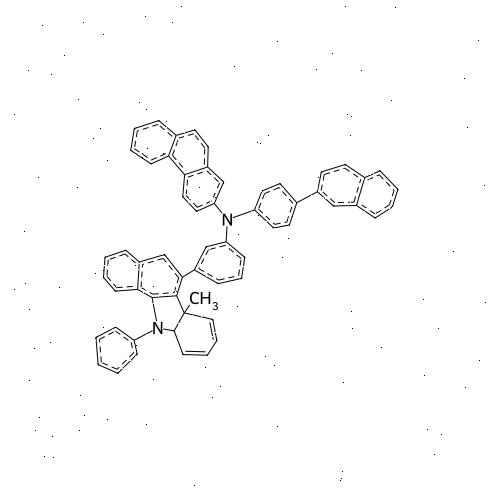 CC12C=CC=CC1N(c1ccccc1)c1c2c(-c2cccc(N(c3ccc(-c4ccc5ccccc5c4)cc3)c3ccc4c(ccc5ccccc54)c3)c2)cc2ccccc12